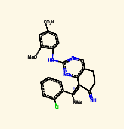 CN/C(=C1\C(=N)CCc2cnc(Nc3ccc(C(=O)O)cc3OC)nc21)c1ccccc1Cl